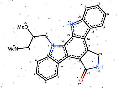 CNCC(Cn1c2ccccc2c2c3c(c4c5ccccc5[nH]c4c21)CNC3=O)OC